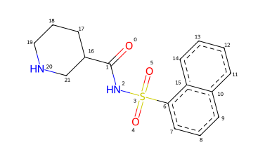 O=C(NS(=O)(=O)c1cccc2ccccc12)C1CCCNC1